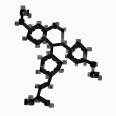 COc1ccc(C2CSc3cc(OC)ccc3C2c2ccc(/C=C/C(=O)O)cc2)cc1